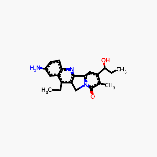 CCc1c2c(nc3ccc(N)cc13)-c1cc(C(O)CC)c(C)c(=O)n1C2